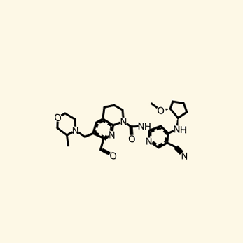 CO[C@@H]1CCC[C@H]1Nc1cc(NC(=O)N2CCCc3cc(CN4CCOCC4C)c(C=O)nc32)ncc1C#N